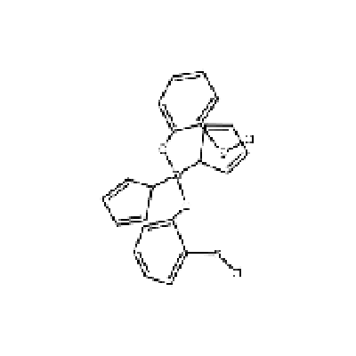 ClSc1ccccc1[O][Zr]([O]c1ccccc1SCl)([CH]1C=CC=C1)[CH]1C=CC=C1